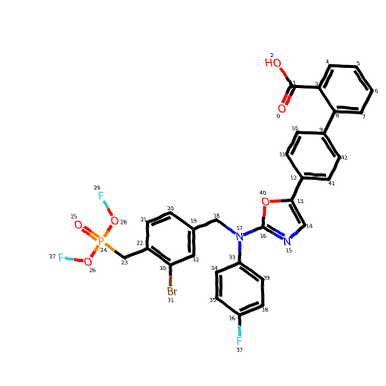 O=C(O)c1ccccc1-c1ccc(-c2cnc(N(Cc3ccc(CP(=O)(OF)OF)c(Br)c3)c3ccc(F)cc3)o2)cc1